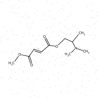 COC(=O)/C=C/C(=O)OCC(C)N(C)C